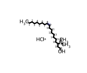 CCCCCCCC/C=C\CCCCCCCC(CCO)N(C)C.Cl